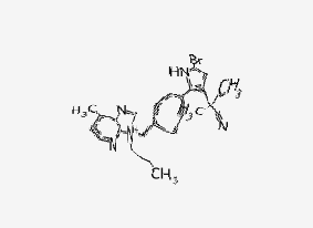 CCC[N+]1(Cc2ccc(-c3[nH]c(Br)cc3C(C)(C)C#N)cc2)C=Nc2c(C)ccnc21